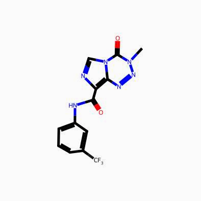 Cn1nnc2c(C(=O)Nc3cccc(C(F)(F)F)c3)ncn2c1=O